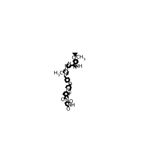 CC1CN(c2cc(-c3n[nH]c4ccc(OC5(C)CC5)cc34)ncn2)CCN1CC1CCC(OC2CCN(c3ccc4c(c3F)CN(C3CCC(=O)NC3=O)C4=O)CC2)CC1